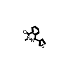 Cn1nc(-c2ccsc2)c2ccccc2c1=O